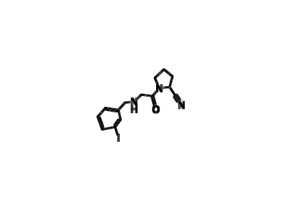 N#CC1CCCN1C(=O)CNCc1cccc(I)c1